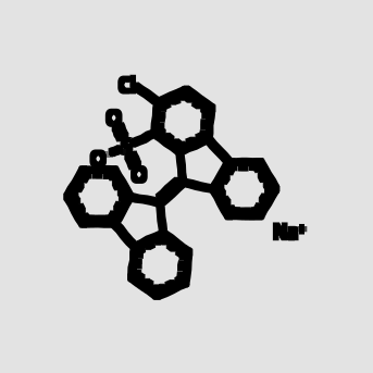 O=S(=O)([O-])c1c(Cl)ccc2c1C(=C1c3ccccc3-c3ccccc31)c1ccccc1-2.[Na+]